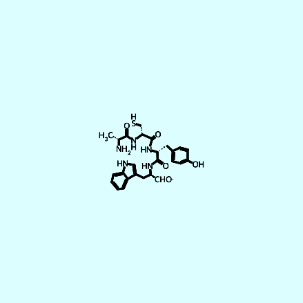 C[C@@H](N)C(=O)N[C@H](CS)C(=O)N[C@H](Cc1ccc(O)cc1)C(=O)N[C@@H]([C]=O)Cc1c[nH]c2ccccc12